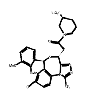 CCOC(=O)[C@H]1CCCN(C(=O)C[C@H]2S[C@H](c3cccc(OC)c3OC)c3cc(Cl)ccc3-n3c2nnc3C(F)(F)F)C1